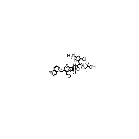 C[C@H](O/N=C(\C(=O)NC1C(=O)N2C(C=O)=C(C[n+]3cccc4c3cnn4C)CSC12)c1nc(N)sc1Cl)C(=O)O